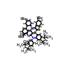 Cc1cc2c3c(n1)N(c1ccc4c(c1)C(C)(C)CC4(C)C)c1cc4c(cc1B3c1sc3ccc(C(C)(C)C)cc3c1N2c1ccc(C(C)(C)C)cc1-c1ccc(C(C)(C)C)cc1)C(C)(C)CC4(C)C